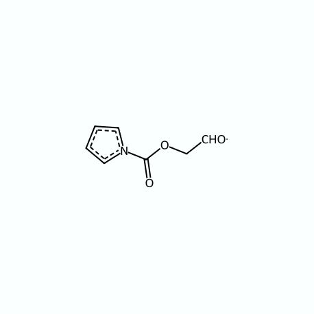 O=[C]COC(=O)n1cccc1